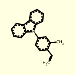 C=Cc1ccc(-n2c3ccccc3c3ccccc32)cc1C